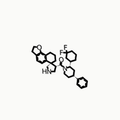 O=C([C@@H]1CNC[C@]12CCCc1c2ccc2c1OCC2)N1CC[C@@H](c2ccccc2)C[C@H]1C1CCCC(F)(F)C1